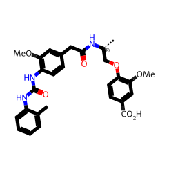 COc1cc(CC(=O)N[C@H](C)COc2ccc(C(=O)O)cc2OC)ccc1NC(=O)Nc1ccccc1C